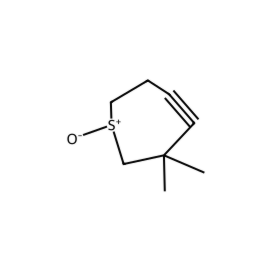 CC1(C)C#CCC[S+]([O-])C1